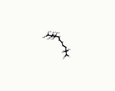 FC(F)C(F)(F)CCCCCC(F)(F)C(F)(F)C(F)F